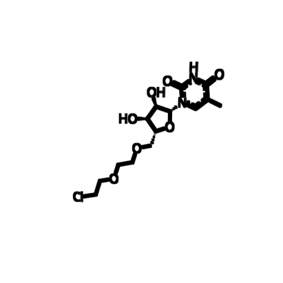 Cc1cn([C@@H]2O[C@H](COCCOCCCl)[C@@H](O)[C@H]2O)c(=O)[nH]c1=O